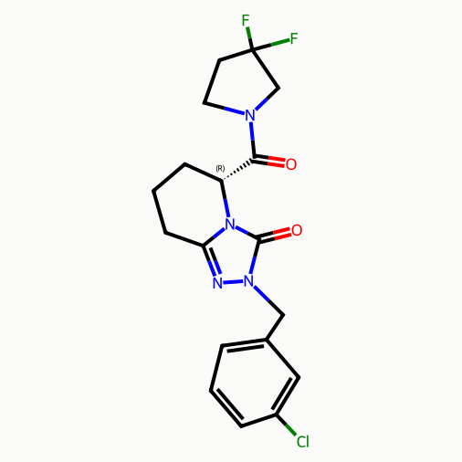 O=C([C@H]1CCCc2nn(Cc3cccc(Cl)c3)c(=O)n21)N1CCC(F)(F)C1